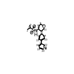 CC(C)S(=O)(=O)N[C@H]1CCOC[C@@H]1C1C=CC(c2cccnc2)=CC1